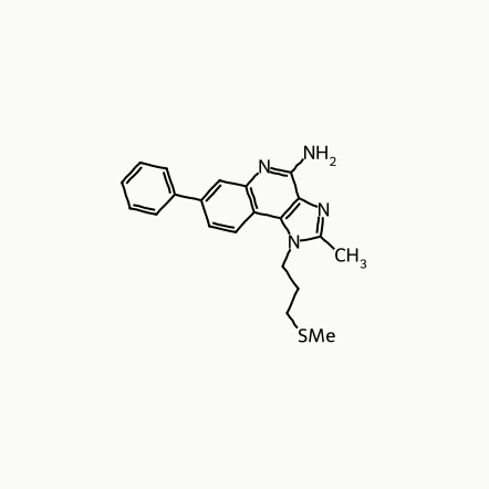 CSCCCn1c(C)nc2c(N)nc3cc(-c4ccccc4)ccc3c21